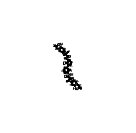 Cc1c(NC(=O)c2nc3c(n2C)CCN(CC(C)O)C3)cccc1-c1cccc(NC(=O)c2nc3c(n2C)CCN(CC(C)O)C3)c1Cl